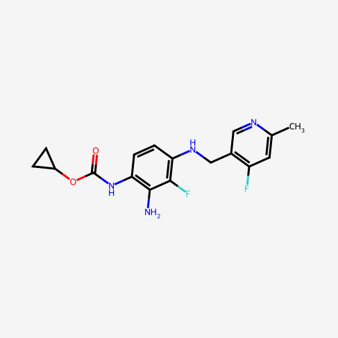 Cc1cc(F)c(CNc2ccc(NC(=O)OC3CC3)c(N)c2F)cn1